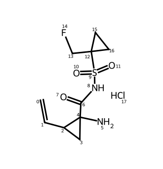 C=CC1CC1(N)C(=O)NS(=O)(=O)C1(CF)CC1.Cl